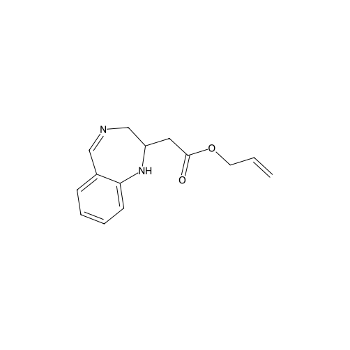 C=CCOC(=O)CC1CN=Cc2ccccc2N1